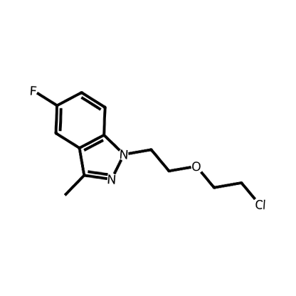 Cc1nn(CCOCCCl)c2ccc(F)cc12